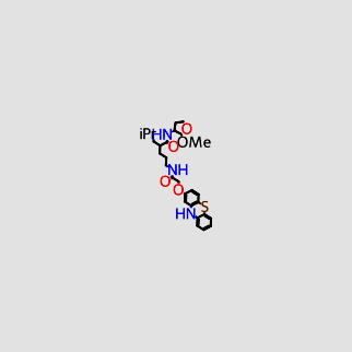 COC1OCC[C@@H]1NC(=O)C(CCCNC(=O)COc1ccc2c(c1)Nc1ccccc1S2)CC(C)C